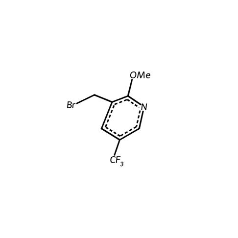 COc1ncc(C(F)(F)F)cc1CBr